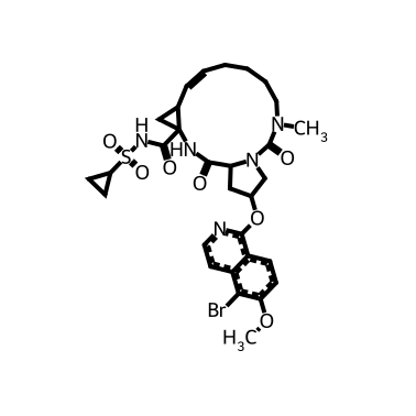 COc1ccc2c(OC3CC4C(=O)NC5(C(=O)NS(=O)(=O)C6CC6)CC5C=CCCCCN(C)C(=O)N4C3)nccc2c1Br